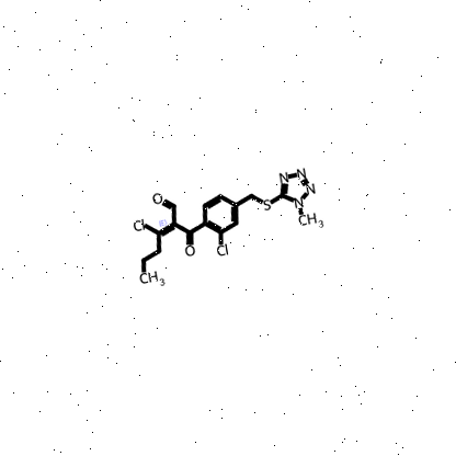 CCC/C(Cl)=C(/C=O)C(=O)c1ccc(CSc2nnnn2C)cc1Cl